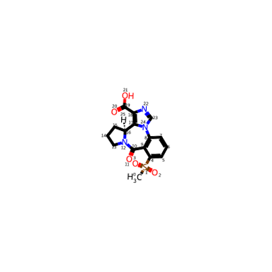 CS(=O)(=O)c1cccc2c1C(=O)N1CCC[C@H]1c1c(C(=O)O)ncn1-2